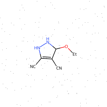 CCOC1NNC(C#N)=C1C#N